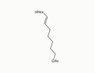 CCCCCCC=CCCCCCOC(C)=O